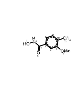 COc1cc(C(=O)NO)ccc1C